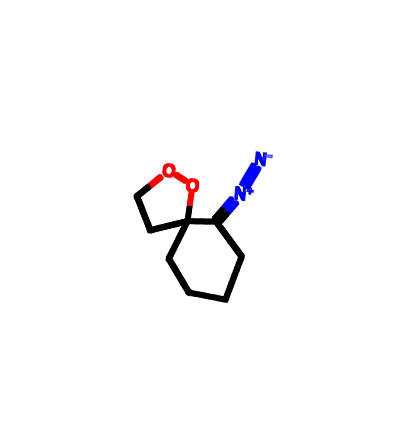 [N-]=[N+]=C1CCCCC12CCOO2